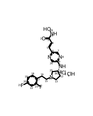 Cl.Cl.O=C(C=Cc1cnc(N[C@@H]2CCN(CCc3ccc(F)cc3F)C2)cn1)NO